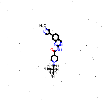 [2H]C([2H])([2H])C([2H])(C([2H])([2H])[2H])C([2H])([2H])N1CCC(C(=O)Nc2ncc3ccc(-c4cnn(C)c4)cc3n2)CC1